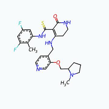 Cc1c(F)cc(F)cc1NC(=S)C1=C(NCc2ccncc2OCC2CCCN2C)CCNC1=O